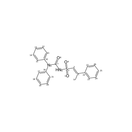 C/C(=C\S(=O)(=O)NC(=O)N(c1ccccc1)c1ccccc1)c1ccccc1